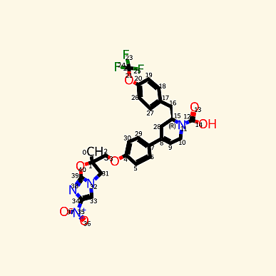 CC1(COc2ccc(C3=CCN(C(=O)O)[C@H](Cc4ccc(OC(F)(F)F)cc4)C3)cc2)Cn2cc([N+](=O)[O-])nc2O1